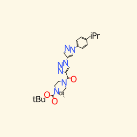 CC(C)c1ccc(-n2cc(-n3cc(C(=O)N4CCN(C(=O)OC(C)(C)C)[C@@H](C)C4)nn3)cn2)cc1